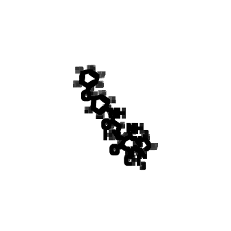 CN1C(=O)C(NCC(=O)Nc2ccc(Oc3ccccc3)cc2)C(N)N2CCN=C12